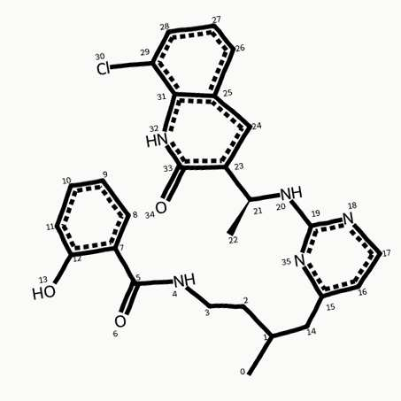 CC(CCNC(=O)c1ccccc1O)Cc1ccnc(N[C@@H](C)c2cc3cccc(Cl)c3[nH]c2=O)n1